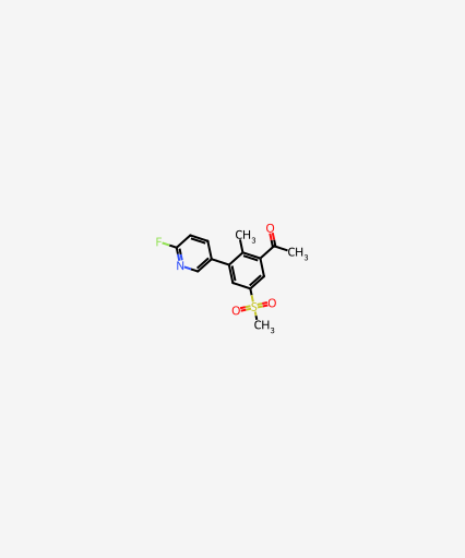 CC(=O)c1cc(S(C)(=O)=O)cc(-c2ccc(F)nc2)c1C